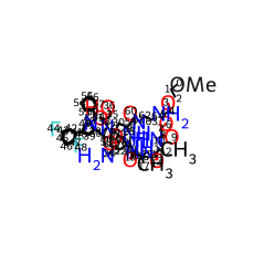 COCCOCCOCC(=O)NC(C)C(=O)NC(C)C(=O)NC(CC(N)=O)C(=O)NC(CCN(C(=O)CO)C(c1cc(-c2cc(F)ccc2F)cn1Cc1ccccc1)C(C)(C)C)C(=O)NCCN